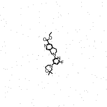 CCOC(=O)c1cc2c(cn1)CN(c1cc(N3CCOC(C)(C)C3)cc(F)n1)CC2